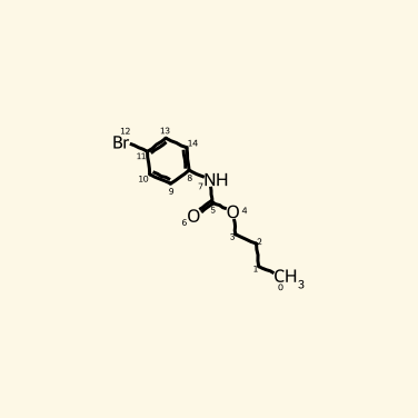 CCCCOC(=O)Nc1ccc(Br)cc1